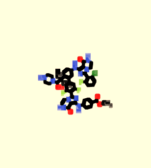 COC(=O)c1ccc(Nc2nc(-c3c(F)cc(-c4cc(Nc5nc(-c6c(F)cccc6Cl)n6cc[nH]c(=O)c56)ccc4C(C)(C)C(O)N4CCNCC4)cc3F)n3cc[nH]c(=O)c23)cc1